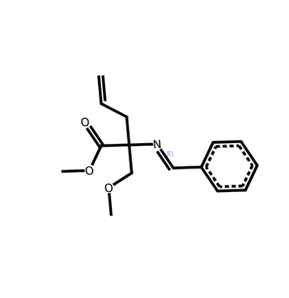 C=CCC(COC)(/N=C/c1ccccc1)C(=O)OC